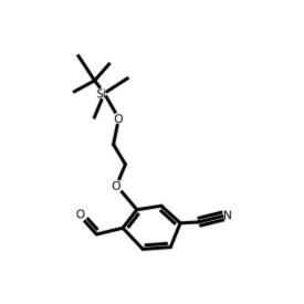 CC(C)(C)[Si](C)(C)OCCOc1cc(C#N)ccc1C=O